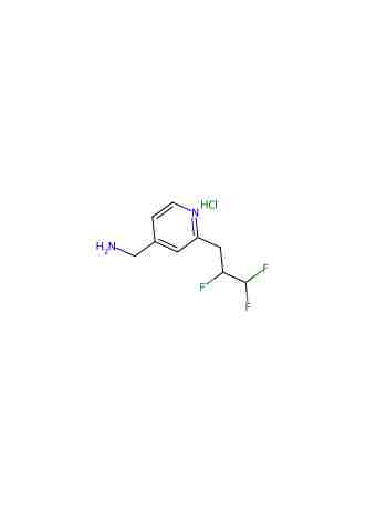 Cl.NCc1ccnc(CC(F)C(F)F)c1